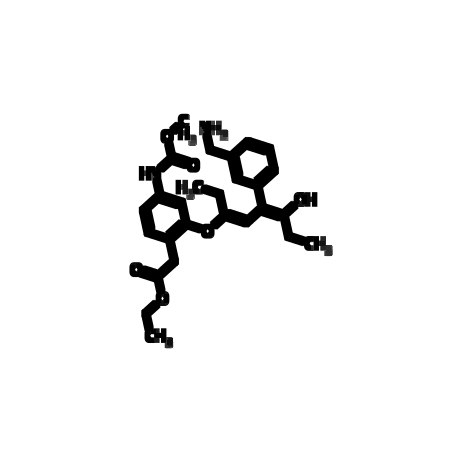 CCOC(=O)Cc1ccc(NC(=O)OC)cc1O/C(=C/C(=C(/O)CC)c1cccc(CN)c1)CC